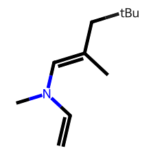 C=CN(C)/C=C(\C)CC(C)(C)C